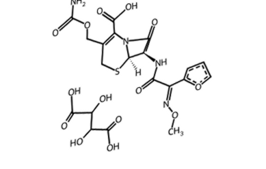 CO/N=C(/C(=O)N[C@@H]1C(=O)N2C(C(=O)O)=C(COC(N)=O)CS[C@H]12)c1ccco1.O=C(O)C(O)C(O)C(=O)O